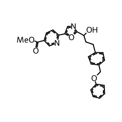 COC(=O)c1ccc(-c2cnc(C(O)CCc3ccc(COc4ccccc4)cc3)o2)nc1